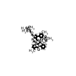 Cc1cc(NS(C)(=O)=O)cc(-c2cn(COCC[Si](C)(C)C)c3ncnc(NC(C)c4nn5ccc(C)c5c(=O)n4-c4ccccc4)c23)c1